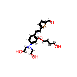 O=Cc1ccc(/C=C/c2ccc(N(CCO)CCO)cc2OCCCCO)s1